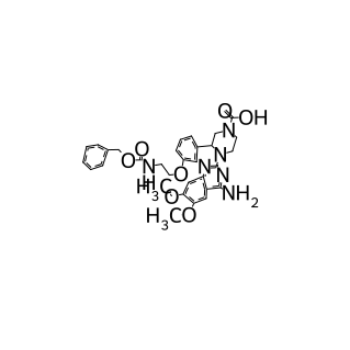 COc1cc2nc(N3CCN(C(=O)O)CC3c3cccc(OCCNC(=O)OCc4ccccc4)c3)nc(N)c2cc1OC